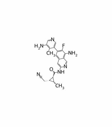 Cc1c(N)cncc1-c1cc2cc(NC(=O)[C@H]3[C@@H](C)[C@@H]3CC#N)ncc2c(N)c1F